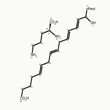 CCCCCC(O)C=CC=CCC=CCC=CCCCC(=O)O.NCCC[C@H](N)C(=O)O